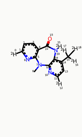 [2H]c1ccc2c(n1)N(C)c1nc([2H])cc(C([2H])([2H])[2H])c1N([2H])C2=O